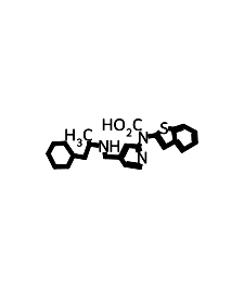 CC(CC1CCCCC1)NCc1ccnc(N(C(=O)O)c2cc3ccccc3s2)c1